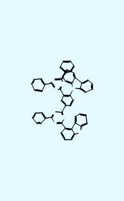 c1ccc(-c2nc(-c3ccccc3)nc(-c3cc(-c4nc(-c5ccccc5)nc(-c5cccc6sc7ccccc7c56)n4)ccc3-n3c4ccccc4c4ccccc43)n2)cc1